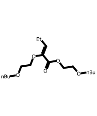 CCC=C(OCCOCCCC)C(=O)OCCOCCCC